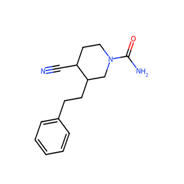 N#CC1CCN(C(N)=O)CC1CCc1ccccc1